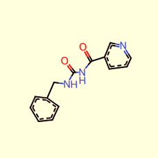 O=C(NCc1ccccc1)NC(=O)c1cccnc1